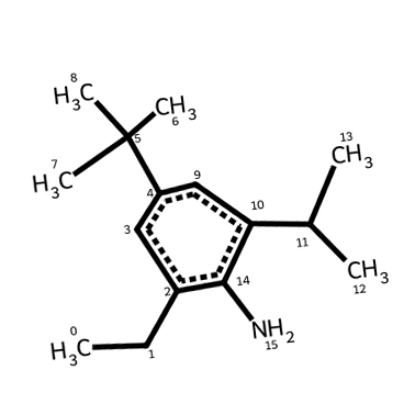 CCc1cc(C(C)(C)C)cc(C(C)C)c1N